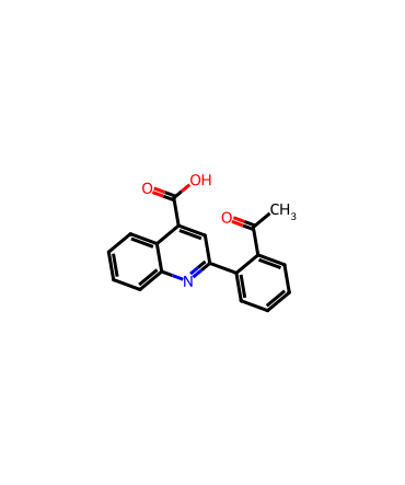 CC(=O)c1ccccc1-c1cc(C(=O)O)c2ccccc2n1